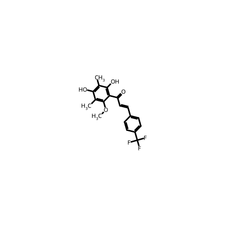 COc1c(C)c(O)c(C)c(O)c1C(=O)C=Cc1ccc(C(F)(F)F)cc1